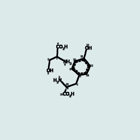 NC(CO)C(=O)O.N[C@H](Cc1ccc(O)cc1)C(=O)O